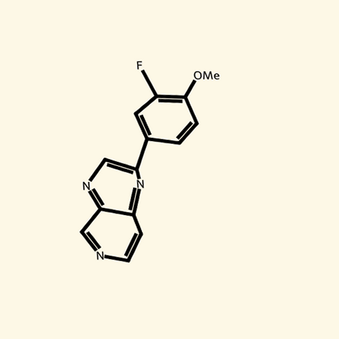 COc1ccc(-c2cnc3cnccc3n2)cc1F